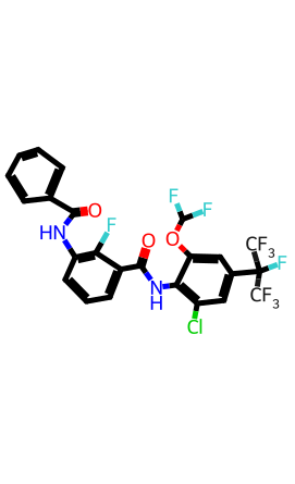 O=C(Nc1cccc(C(=O)Nc2c(Cl)cc(C(F)(C(F)(F)F)C(F)(F)F)cc2OC(F)F)c1F)c1ccccc1